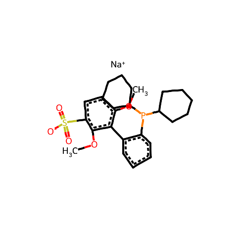 COc1ccc(S(=O)(=O)[O-])c(OC)c1-c1ccccc1P(C1CCCCC1)C1CCCCC1.[Na+]